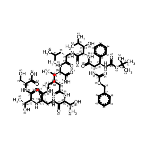 CC[C@H](C)[C@H](NC(=O)[C@@H](CCCNC(=N)N)NC(=O)[C@H](CC(C)C)NC(=O)[C@@H](NC(=O)[C@@H](NC(=O)OCc1ccccc1)[C@H](NC(=O)OC(C)(C)C)c1ccccc1)[C@H](O)C(C)C)C(=O)N[C@H](C(=O)NCC(=O)N[C@H](C(=O)N[C@@H](CO)C(=O)O)[C@@H](C)O)[C@H](C)O